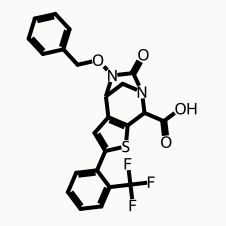 O=C(O)C1c2sc(-c3ccccc3C(F)(F)F)cc2C2CN1C(=O)N2OCc1ccccc1